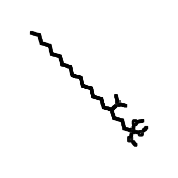 CCCCCCCCCCCCCCCC(CCC[Si](OC)(OC)OC)N(C)C